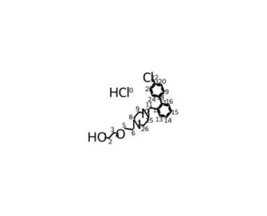 Cl.OCCOCCN1CCN(Cc2ccccc2-c2ccc(Cl)cc2)CC1